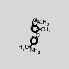 CB1OCc2ccc(Oc3ccc(C(C)N)cc3)c(C)c21